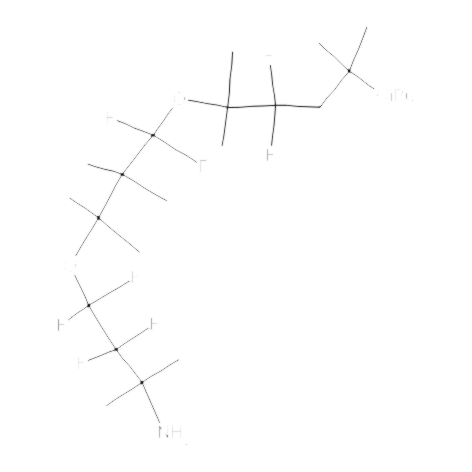 CC(C)COC(C)(C)CC(F)(F)C(C)(C)OC(F)(F)C(C)(C)C(C)(C)OC(F)(F)C(F)(F)C(C)(C)N